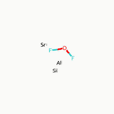 FOF.[Al].[Si].[Sr]